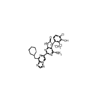 C[C@@]1(c2ccc(Cl)c(O)c2Cl)C(=O)Nc2nc(-c3cn4ncnc4c(CC4CCCCC4)n3)nc(N)c21